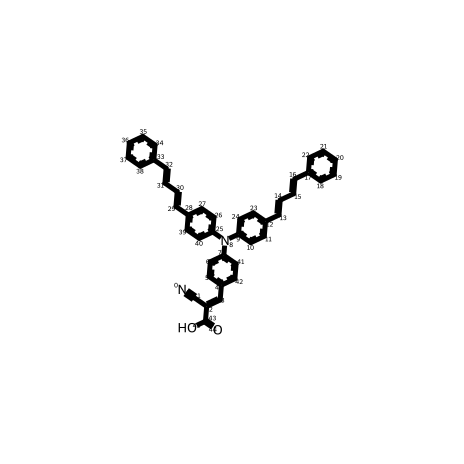 N#C/C(=C\c1ccc(N(c2ccc(/C=C/C=C/c3ccccc3)cc2)c2ccc(/C=C/C=C/c3ccccc3)cc2)cc1)C(=O)O